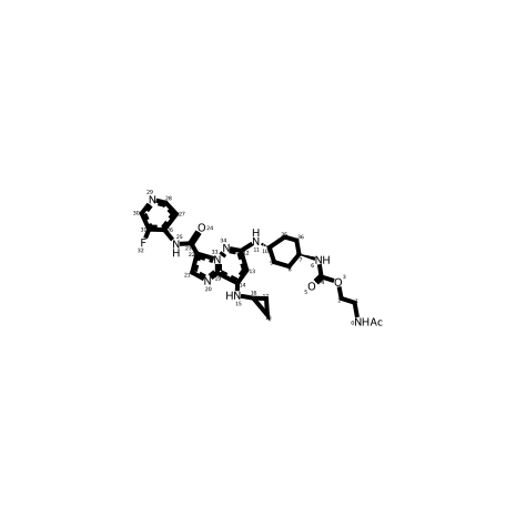 CC(=O)NCCOC(=O)N[C@H]1CC[C@H](Nc2cc(NC3CC3)c3ncc(C(=O)Nc4ccncc4F)n3n2)CC1